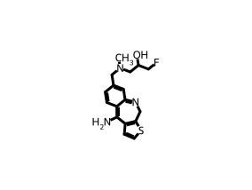 CN(Cc1ccc2c(c1)=NCc1sccc1C=2N)CC(O)CF